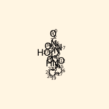 COCCN1CN(C)n2cc(C(=O)N[C@H]3CCCc4ccccc43)c(=O)c(O)c2C1=O